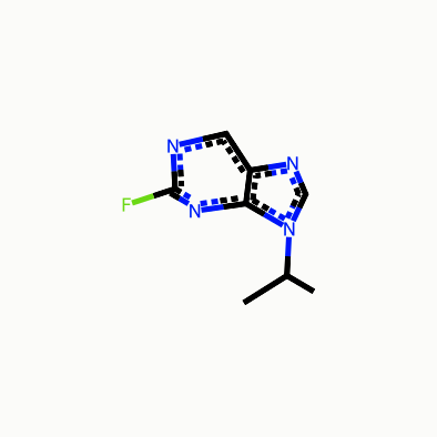 CC(C)n1cnc2cnc(F)nc21